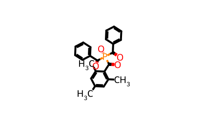 Cc1cc(C)c(C(=O)P(=O)(C(=O)c2ccccc2)C(=O)c2ccccc2)c(C)c1